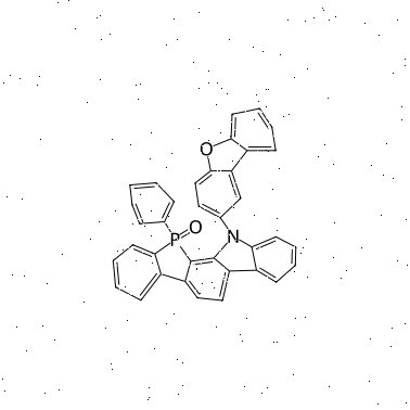 O=P1(c2ccccc2)c2ccccc2-c2ccc3c4ccccc4n(-c4ccc5oc6ccccc6c5c4)c3c21